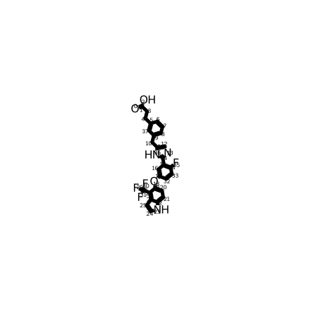 O=C(O)CCc1cccc(Cc2cnc(-c3cc(Oc4ccc5[nH]ccc5c4C(F)(F)F)ccc3F)[nH]2)c1